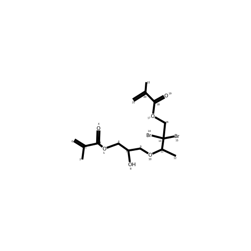 C=C(C)C(=O)OCC(O)COC(C)C(Br)(Br)COC(=O)C(=C)C